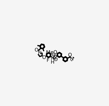 COc1ccc(-c2cccc(C(=O)N(C)C)c2)cc1S(=O)(=O)Nc1cccc(O[C@H]2CCN(C(=O)c3c(C)cccc3C)C2)c1F